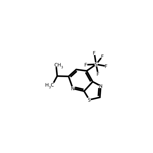 CC(C)c1cc(S(F)(F)(F)(F)F)c2ncsc2n1